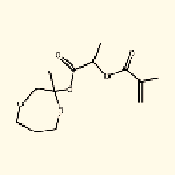 C=C(C)C(=O)OC(C)C(=O)OC1(C)COCCCO1